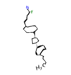 CCCCc1ccc([C@H]2CC[C@H](C3CCC(/C=C/C=C(\F)C#N)CC3)CC2)cc1